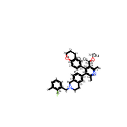 Cc1cccc(CN2CCc3cc(-c4c(C)nc(C)c([C@H](OC(C)(C)C)C(=O)O)c4-c4ccc5c(c4)CCCO5)ccc3C2)c1F